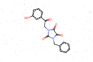 O=C(CN1C(=O)C(=O)N(Cc2ccccc2)C1=O)c1cccc(O)c1